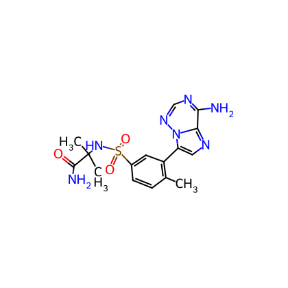 Cc1ccc(S(=O)(=O)NC(C)(C)C(N)=O)cc1-c1cnc2c(N)ncnn12